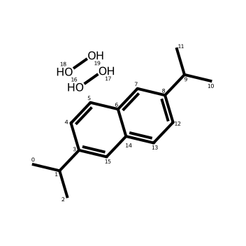 CC(C)c1ccc2cc(C(C)C)ccc2c1.OO.OO